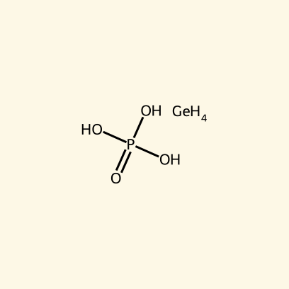 O=P(O)(O)O.[GeH4]